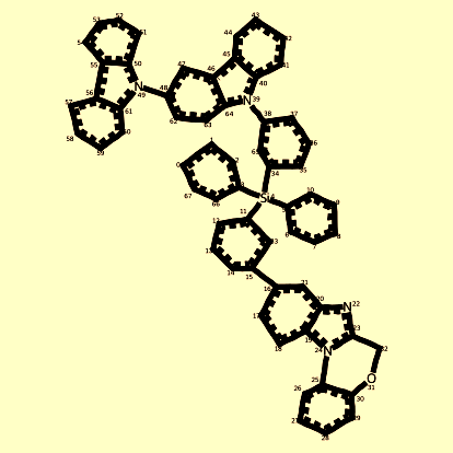 c1ccc([Si](c2ccccc2)(c2cccc(-c3ccc4c(c3)nc3n4-c4ccccc4OC3)c2)c2cccc(-n3c4ccccc4c4cc(-n5c6ccccc6c6ccccc65)ccc43)c2)cc1